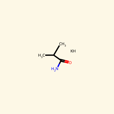 CC(C)C(N)=O.[KH]